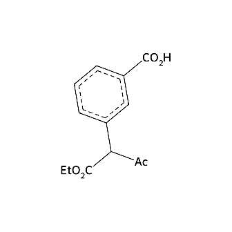 CCOC(=O)C(C(C)=O)c1cccc(C(=O)O)c1